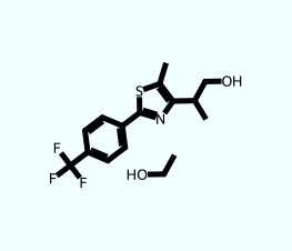 CCO.Cc1sc(-c2ccc(C(F)(F)F)cc2)nc1C(C)CO